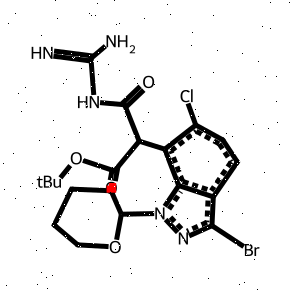 CC(C)(C)OC(=O)C(C(=O)NC(=N)N)c1c(Cl)ccc2c(Br)nn(C3CCCCO3)c12